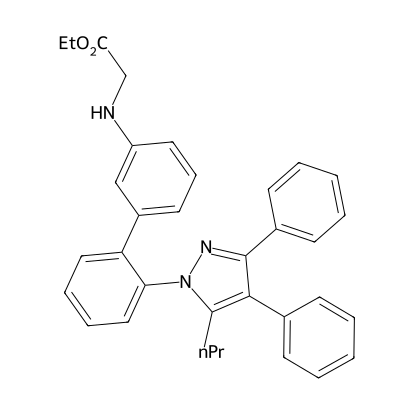 CCCc1c(-c2ccccc2)c(-c2ccccc2)nn1-c1ccccc1-c1cccc(NCC(=O)OCC)c1